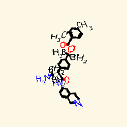 BC(B)(OC(=O)c1ccc(C)cc1C)c1ccc([C@H](C(=O)Nc2ccc3cnccc3c2)C(B)(B)N)cc1